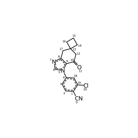 N#Cc1ccc(-n2cnc3c2C(=O)CC2(CCC2)C3)cc1Cl